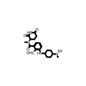 CN(S)C1CCC(Nc2cccc(C(=O)N(C)C3CCC(=O)NC3=O)c2C=O)CC1